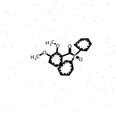 COc1cccc(C(=O)P(=O)(c2ccccc2)c2ccccc2)c1OC